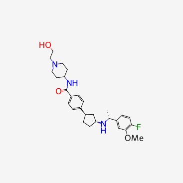 COc1cc([C@@H](C)N[C@H]2CC[C@@H](c3ccc(C(=O)NC4CCN(CCO)CC4)cc3)C2)ccc1F